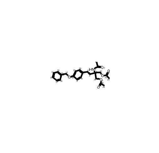 CC(=O)NC(CCc1ccc(OCc2ccccc2)cc1)(COC(C)=O)COC(C)=O